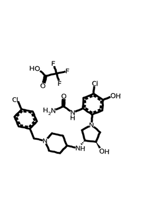 NC(=O)Nc1cc(Cl)c(O)cc1N1C[C@@H](O)[C@H](NC2CCN(Cc3ccc(Cl)cc3)CC2)C1.O=C(O)C(F)(F)F